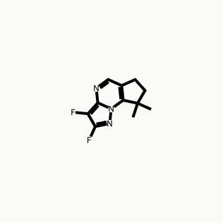 CC1(C)CCc2cnc3c(F)c(F)nn3c21